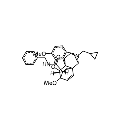 COc1ccc2c3c1O[C@H]1C4(OC)C=C[C@@]5(C[C@H]4C(=O)NCc4ccccc4)C(C2)N(CC2CC2)CC[C@]315